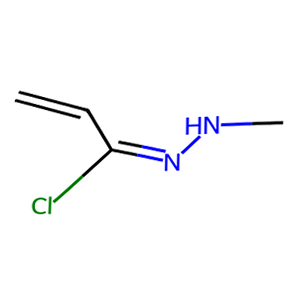 C=C/C(Cl)=N\NC